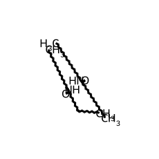 CCCCCCCC/C=C\CCCCCCCC(=O)NCCCCCCCCCCCCCCCCCC.CCCCCCCCCCCCCCCCCCNC(=O)CCCCCCCCCCCCCCCCC